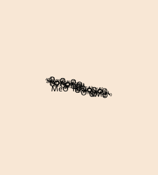 C=CC(=O)Oc1ccc(C(=O)Oc2ccc(C(=O)O[C@H]3CO[C@H]4[C@@H]3OC[C@H]4OC(=O)c3ccc(OC(=O)c4ccc(OC(=O)C=C)cc4)c(OC)c3)cc2OC)cc1